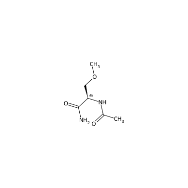 COC[C@@H](NC(C)=O)C(N)=O